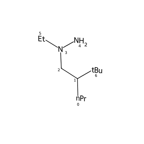 CCCC(CN(N)CC)C(C)(C)C